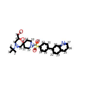 CC(C)(C)N1CC(C=O)OC2(CCN(S(=O)(=O)c3ccc(-c4ccc5cccnc5c4)cc3)CC2)C1